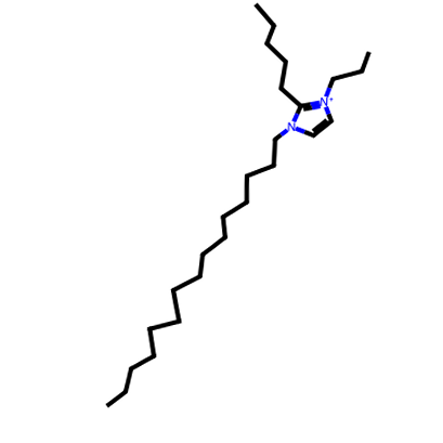 CCCCCCCCCCCCCCCn1cc[n+](CCC)c1CCCCC